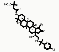 CC(C)C1=C2[C@H]3CC[C@@H]4[C@@]5(C)CC[C@H](OC(=O)CC(C)(C)C(=O)O)C(C)(C)[C@@H]5CC[C@@]4(C)[C@]3(C)CCC2([C@H](O)CNC(C)(C)c2ccc(Cl)cn2)CC1=O